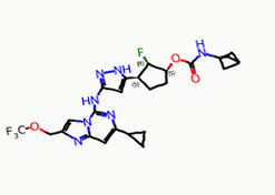 O=C(NC12CC(C1)C2)O[C@H]1CC[C@@H](c2cc(Nc3nc(C4CC4)cc4nc(COC(F)(F)F)cn34)n[nH]2)[C@H]1F